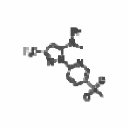 CC(C)N(C)c1cc(C(F)(F)F)nn1-c1ccc(S(C)(=O)=O)cn1